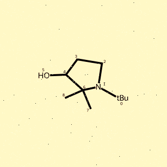 CC(C)(C)N1CCC(O)C1(C)C